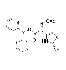 CC(=O)ON=C(C(=O)OC(c1ccccc1)c1ccccc1)c1csc(=N)[nH]1